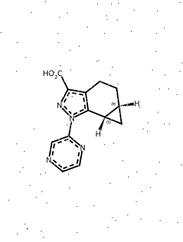 O=C(O)c1nn(-c2cnccn2)c2c1CC[C@@H]1C[C@H]21